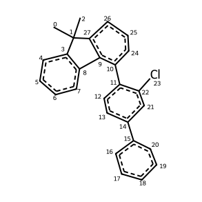 CC1(C)c2ccccc2-c2c(-c3ccc(-c4ccccc4)cc3Cl)cccc21